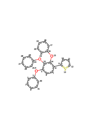 c1ccc(Oc2ccc(-c3cccs3)c(Oc3ccccc3)c2Oc2ccccc2)cc1